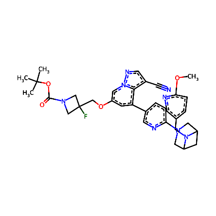 COc1ccc(CN2C3CC2CN(c2ccc(-c4cc(OCC5(F)CN(C(=O)OC(C)(C)C)C5)cn5ncc(C#N)c45)cn2)C3)cn1